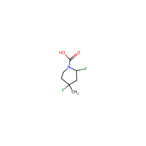 CC1(F)CCN(C(=O)O)C(F)C1